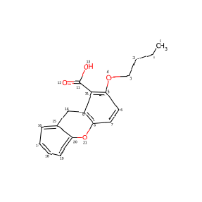 CCCCOc1ccc2c(c1C(=O)O)Cc1ccccc1O2